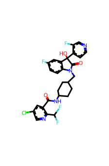 O=C(NC1CCC(CN2C(=O)C(O)(c3ccncc3F)c3cc(F)ccc32)CC1)c1cc(Cl)cnc1C(F)F